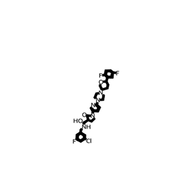 O=C1C(C(O)NCc2cc(F)cc(Cl)c2)CCN1c1ccc(N2CCN(C3CCC(c4cc(F)ccc4F)OC3)CC2)nc1